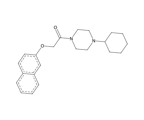 O=C(COc1ccc2ccccc2c1)N1CCN(C2CCCCC2)CC1